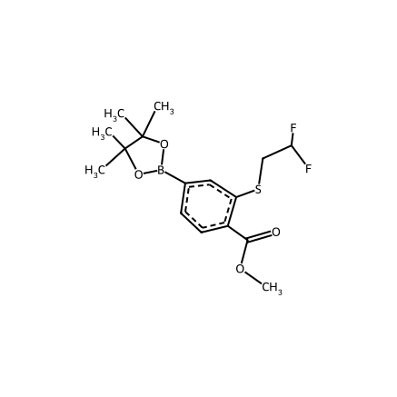 COC(=O)c1ccc(B2OC(C)(C)C(C)(C)O2)cc1SCC(F)F